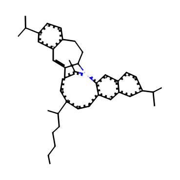 CCCCCC(C)c1ccc2cc3cc(C(C)C)ccc3cc2n2c(C)c(c1)C1=Cc3cc(C(C)C)ccc3CCC12